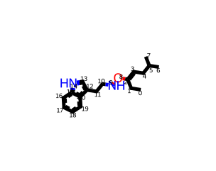 CC/C(=C\CC(C)C)ONCCc1c[nH]c2ccccc12